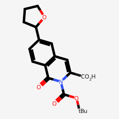 CC(C)(C)OC(=O)n1c(C(=O)O)cc2cc(C3CCCO3)ccc2c1=O